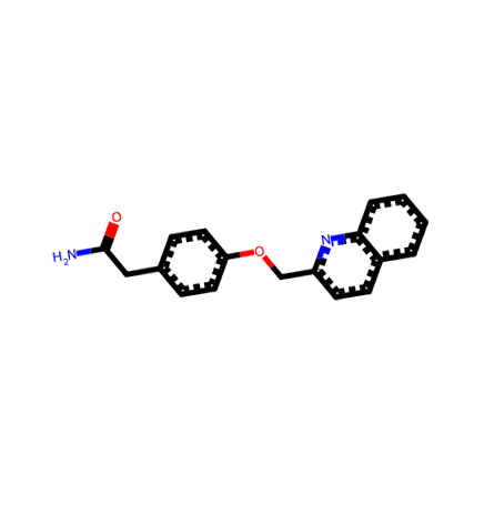 NC(=O)Cc1ccc(OCc2ccc3ccccc3n2)cc1